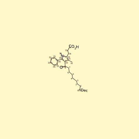 CCCCCCCCCCCCCCCCCC(=O)c1c(C)c(CCC(=O)O)n(C)c1-c1ccccc1